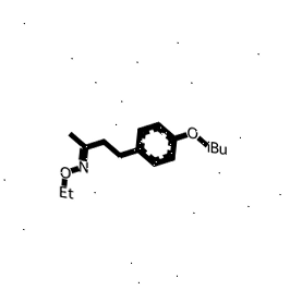 CCON=C(C)CCc1ccc(OC(C)CC)cc1